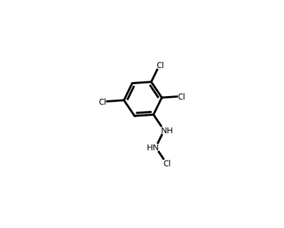 ClNNc1cc(Cl)cc(Cl)c1Cl